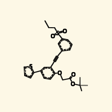 CCCS(=O)(=O)c1cccc(C#Cc2cc(-c3cccs3)ccc2OCC(=O)OC(C)(C)C)c1